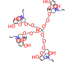 C=CCN1CC[C@]23c4c5ccc(O)c4OC2C(OCCOCCOCC(COCCOCCOC2CC[C@@]4(O)C6Cc7ccc(O)c8c7[C@@]4(CCN6CC=C)[C@H]2O8)(COCCOCCOC2CC[C@@]4(O)C6Cc7ccc(O)c8c7[C@@]4(CCN6CC=C)[C@H]2O8)COCCOCCO[C@H]2CC[C@@]4(O)C6Cc7ccc(O)c8c7[C@@]4(CCN6CC=C)C2O8)CC[C@@]3(O)C1C5